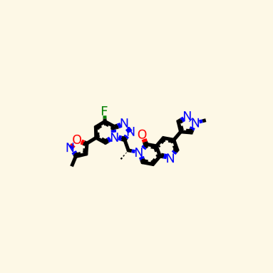 Cc1cc(-c2cc(F)c3nnc([C@@H](C)n4ccc5ncc(-c6cnn(C)c6)cc5c4=O)n3c2)on1